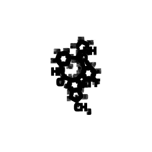 C[C@@H]1Cc2cc3c(c(F)c2C1)-c1c(Cl)c(F)cc2c1C[C@]([C@@H]1CCCN1)(O2)c1cccc(c1)NC3=O